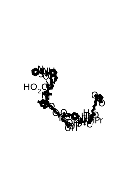 Cc1c(-c2ccc(N3CCc4cccc(C(=O)Nc5nc6ccccc6s5)c4C3)nc2C(=O)O)cnn1CC12CC3(C)CC(C)(C1)CC(OCCOCCN(CCCP(=O)(O)O)C(=O)OCc1ccc(NC(=O)[C@H](C)NC(=O)[C@@H](NC(=O)CCCCCN4C(=O)C=CC4=O)C(C)C)cc1)(C3)C2